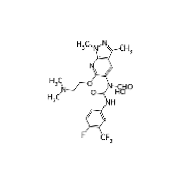 Cc1nn(C)c2nc(OCCN(C)C)c(N(C=O)C(=O)Nc3ccc(F)c(C(F)(F)F)c3)cc12.Cl